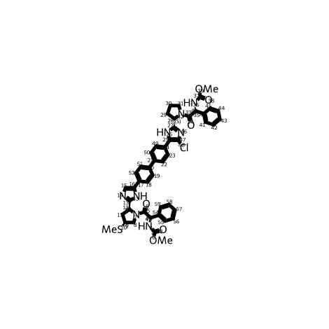 COC(=O)N[C@@H](C(=O)N1C[C@@H](SC)C[C@H]1c1ncc(-c2ccc(-c3ccc(-c4[nH]c([C@@H]5CCCN5C(=O)[C@H](NC(=O)OC)c5ccccc5)nc4Cl)cc3)cc2)[nH]1)c1ccccc1